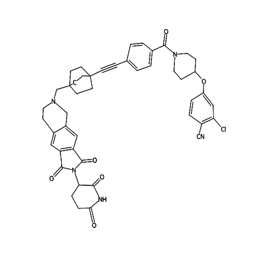 N#Cc1ccc(OC2CCN(C(=O)c3ccc(C#CC45CCC(CN6CCc7cc8c(cc7C6)C(=O)N(C6CCC(=O)NC6=O)C8=O)(CC4)CC5)cc3)CC2)cc1Cl